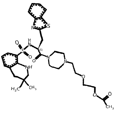 CC(=O)OCCOCCN1CCN(C(=O)[C@H](Cc2nc3ccccc3s2)NS(=O)(=O)c2cccc3c2NCC(C)(C)C3)CC1